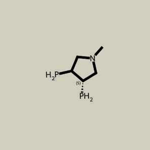 CN1CC(P)[C@@H](P)C1